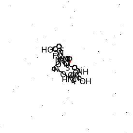 Cc1ncsc1-c1ccc([C@H](C)NC(=O)[C@@H]2C[C@@H](O)CN2C(=O)[C@@H](NC(=O)CCOCCCN2CCC[C@H]2COc2nc(N3CC4CCC(C3)N4)c3cnc(-c4cc(O)cc5cccc(F)c45)c(F)c3n2)C(C)(C)C)cc1